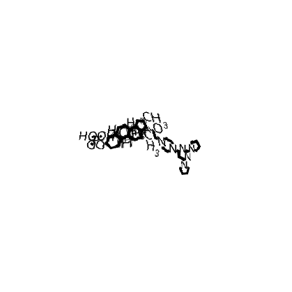 C[C@@H]1C[C@H]2[C@@H]3CC[C@H]4CC(OP(=O)(O)O)CC[C@]4(C)[C@H]3CC[C@]2(C)[C@H]1C(=O)CN1CCN(c2cc(N3CCCC3)nc(N3CCCC3)n2)CC1